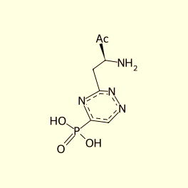 CC(=O)[C@@H](N)Cc1nncc(P(=O)(O)O)n1